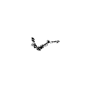 O=C(C=CC(=O)OCCCN1CCOCC1)Nc1cc2c(Nc3ccc4[nH]c(OCc5ccccc5)cc4c3)ncnc2cn1